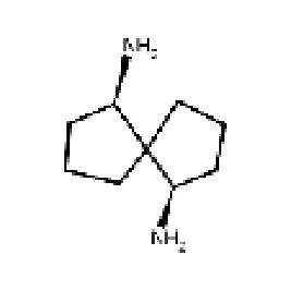 N[C@@H]1CCCC12CCC[C@H]2N